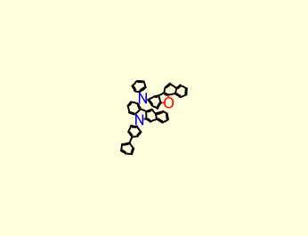 c1ccc(-c2ccc(-n3c4cc5ccccc5cc4c4c(N(c5ccccc5)c5ccc6oc7c8ccccc8ccc7c6c5)cccc43)cc2)cc1